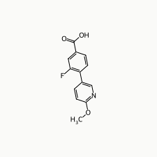 COc1ccc(-c2ccc(C(=O)O)cc2F)cn1